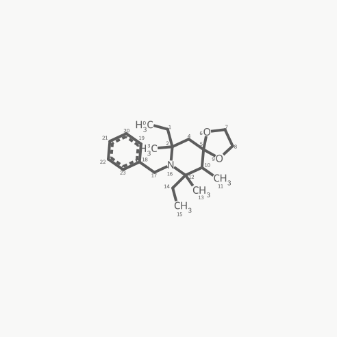 CCC1(C)CC2(OCCO2)C(C)C(C)(CC)N1Cc1ccccc1